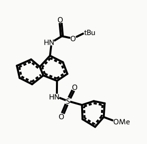 COc1ccc(S(=O)(=O)Nc2ccc(NC(=O)OC(C)(C)C)c3ccccc23)cc1